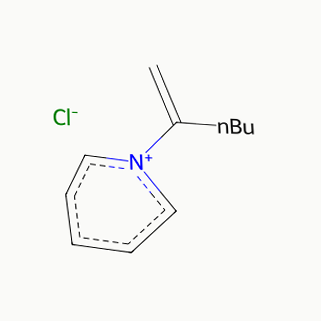 C=C(CCCC)[n+]1ccccc1.[Cl-]